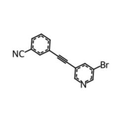 N#Cc1cccc(C#Cc2cncc(Br)c2)c1